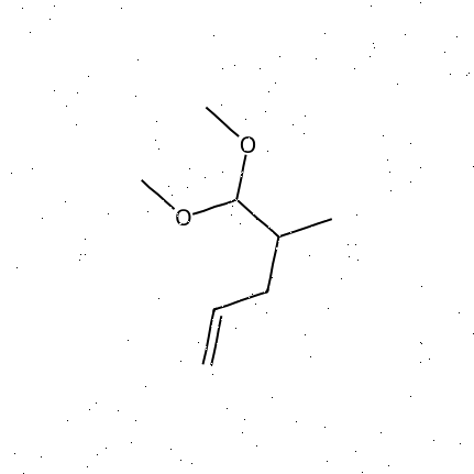 C=CCC(C)C(OC)OC